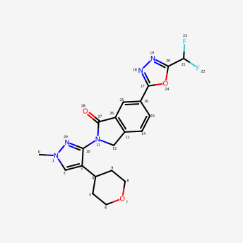 Cn1cc(C2CCOCC2)c(N2Cc3ccc(-c4nnc(C(F)F)o4)cc3C2=O)n1